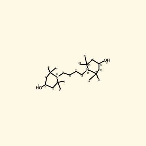 CC1(C)CC(O)CC(C)(C)N1CCCCN1C(C)(C)CC(O)CC1(C)C